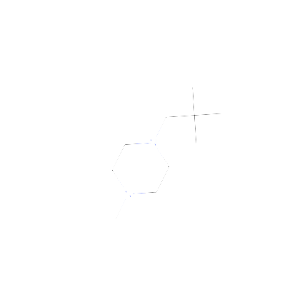 C[C@@H]1CN(CC(C)(C)C)CCN1C